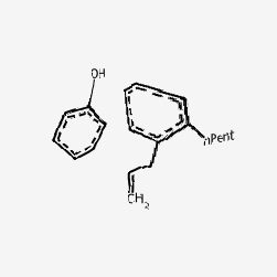 C=CCc1ccccc1CCCCC.Oc1ccccc1